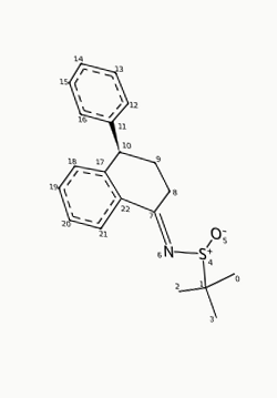 CC(C)(C)[S+]([O-])N=C1CC[C@H](c2ccccc2)c2ccccc21